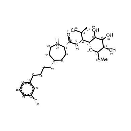 CSC1O[C@H]([C@H](NC(=O)[C@@H]2CC[C@H](CCCCc3cccc(F)c3)CCN2)[C@H](C)Cl)C(O)C(O)[C@H]1O